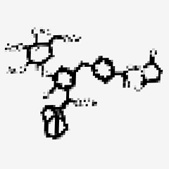 COC(=C1C2CC3CC(C2)CC1C3)c1cc(Cc2ccc(C(=O)ON3C(=O)CCC3=O)cc2)cc(O[C@@H]2CC(COC(C)=O)[C@H](OC(C)=O)C(OC(C)=O)C2OC(C)=O)c1Cl